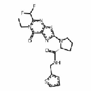 CCn1c(C(F)F)nc2sc(N3CCC[C@@H]3C(=O)NCc3cccs3)nc2c1=O